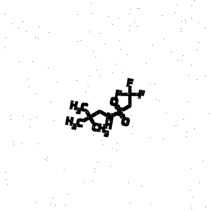 CC(C)(C)CNS(=O)(=O)CC(F)(F)F